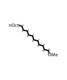 CCCCCCCCCCCCCCCCCCCOC